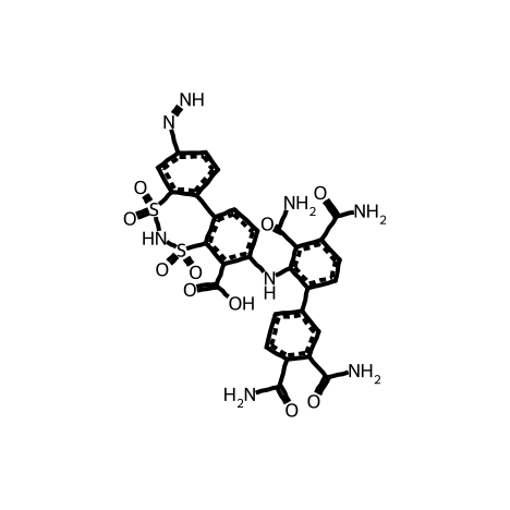 N=Nc1ccc2c(c1)S(=O)(=O)NS(=O)(=O)c1c-2ccc(Nc2c(-c3ccc(C(N)=O)c(C(N)=O)c3)ccc(C(N)=O)c2C(N)=O)c1C(=O)O